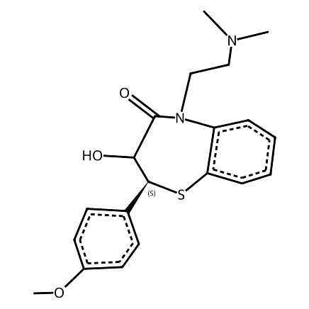 COc1ccc([C@@H]2Sc3ccccc3N(CCN(C)C)C(=O)C2O)cc1